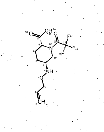 C=CCON[C@H]1CC[C@H](C(=O)O)N(C(=O)C(F)(F)F)C1